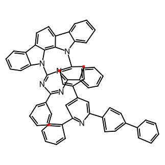 c1ccc(-c2ccc(-c3cc(-c4ccc(-n5c6ccccc6c6ccc7c8ccccc8n(-c8nc(-c9ccccc9)nc(-c9ccccc9)n8)c7c65)cc4)cc(-c4ccccc4)n3)cc2)cc1